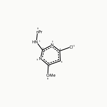 CCCNc1nc(Cl)cc(OC)n1